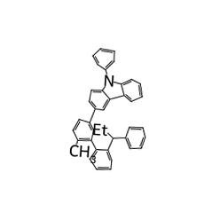 CCC(c1ccccc1)c1ccccc1-c1cc(-c2ccc3c(c2)c2ccccc2n3-c2ccccc2)ccc1C